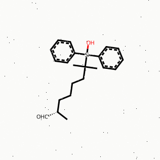 C[C@H](C=O)CCCCC(C)(C)[Si](O)(c1ccccc1)c1ccccc1